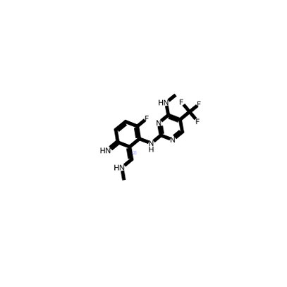 CN/C=C1\C(=N)C=CC(F)=C1Nc1ncc(C(F)(F)F)c(NC)n1